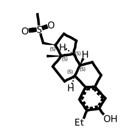 CCc1cc2c(cc1O)CC[C@@H]1[C@@H]2CC[C@]2(C)[C@@H](CS(C)(=O)=O)CC[C@@H]12